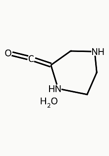 O.O=C=C1CNCCN1